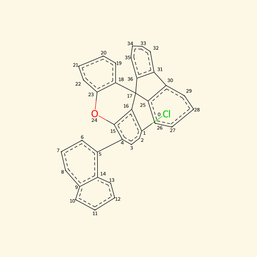 Clc1ccc(-c2cccc3ccccc23)c2c1C1(c3ccccc3O2)c2ccccc2-c2ccccc21